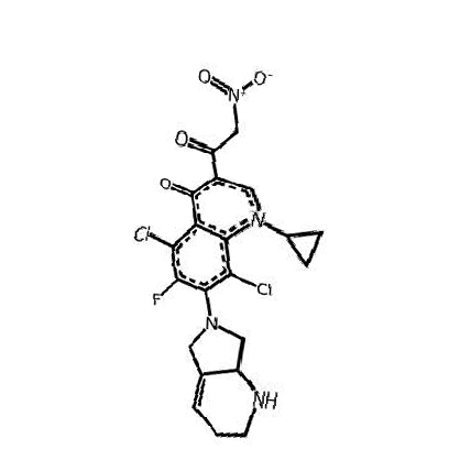 O=C(C[N+](=O)[O-])c1cn(C2CC2)c2c(Cl)c(N3CC4=CCCNC4C3)c(F)c(Cl)c2c1=O